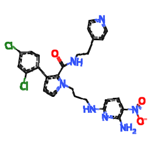 Nc1nc(NCCCn2ccc(-c3ccc(Cl)cc3Cl)c2C(=O)NCCc2ccncc2)ccc1[N+](=O)[O-]